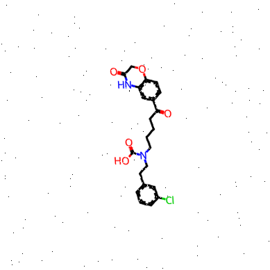 O=C1COc2ccc(C(=O)CCCCN(CCc3cccc(Cl)c3)C(=O)O)cc2N1